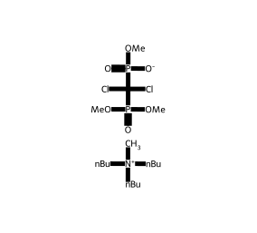 CCCC[N+](C)(CCCC)CCCC.COP(=O)([O-])C(Cl)(Cl)P(=O)(OC)OC